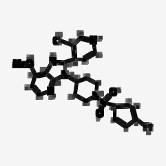 CCc1ccc(S(=O)(=O)N2CCC(n3c(-c4ccncc4Cl)nc4c(OC)ccnc43)CC2)cc1